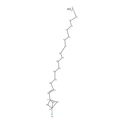 O=C(O)CCCCCCCCCCCCCCC=CC12CC(F)(C1)C2